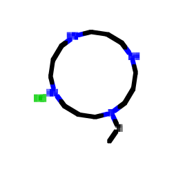 Cl.[CH3][Ti][N]1CCCNCCCNCCCNCCC1